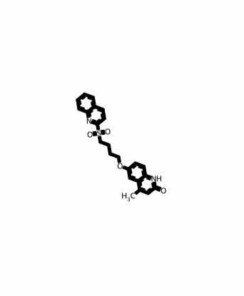 Cc1cc(=O)[nH]c2ccc(OCCCCS(=O)(=O)c3ccc4ccccc4n3)cc12